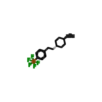 CCCC[C@H]1CC[C@H](CCc2ccc(S(F)(F)(F)(F)F)cc2)CC1